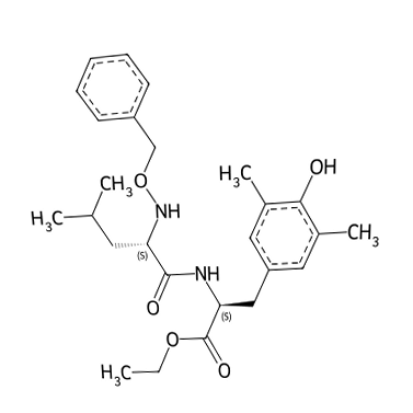 CCOC(=O)[C@H](Cc1cc(C)c(O)c(C)c1)NC(=O)[C@H](CC(C)C)NOCc1ccccc1